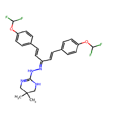 CC1(C)CN=C(NN=C(C=Cc2ccc(OC(F)F)cc2)C=Cc2ccc(OC(F)F)cc2)NC1